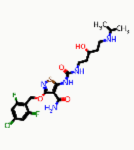 CC(C)NCCC(O)CCNC(=O)Nc1snc(OCc2c(F)cc(Cl)cc2F)c1C(N)=O